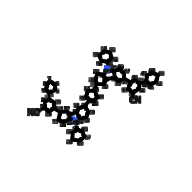 N#Cc1cc(-c2ccccc2)cc(-c2ccc3c(c2)c2cc(-c4ccc(-c5ccc6c(c5)c5cc(-c7cc(C#N)cc(-c8ccccc8)c7)ccc5n6-c5ccccc5)cc4)ccc2n3-c2ccccc2)c1